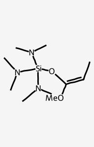 C/C=C(/OC)O[Si](N(C)C)(N(C)C)N(C)C